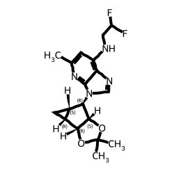 Cc1cc(NCC(F)F)c2ncn([C@@H]3[C@H]4C[C@H]4[C@H]4OC(C)(C)O[C@H]43)c2n1